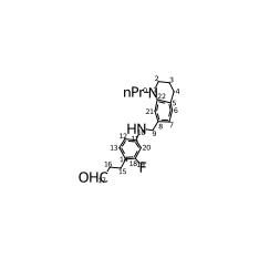 CCCN1CCCc2ccc(CNc3ccc(CCC=O)c(F)c3)cc21